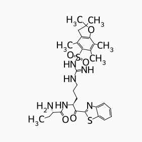 CC[C@H](N)C(=O)N[C@@H](CCCNC(=N)NS(=O)(=O)c1c(C)c(C)c2c(c1C)CC(C)(C)O2)C(=O)c1nc2ccccc2s1